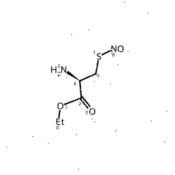 CCOC(=O)[C@@H](N)CSN=O